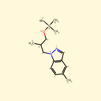 Cc1ccc2c(cnn2CC(C)CO[Si](C)(C)C(C)(C)C)c1